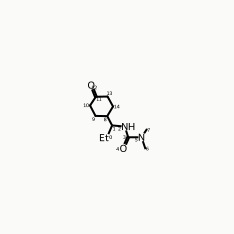 CCC(NC(=O)N(C)C)C1CCC(=O)CC1